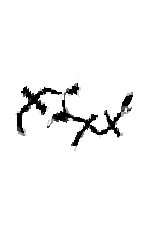 CCC(C)(C)CN(C)C(=O)C(C)(C)CC(C)(C)OC